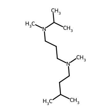 CC(C)CCN(C)CCCN(C)C(C)C